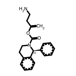 C=C(CCN)OC(=O)N1CCc2ccccc2[C@@H]1c1ccccc1